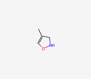 CC1=[C]ONC1